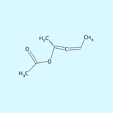 CC=C=C(C)OC(C)=O